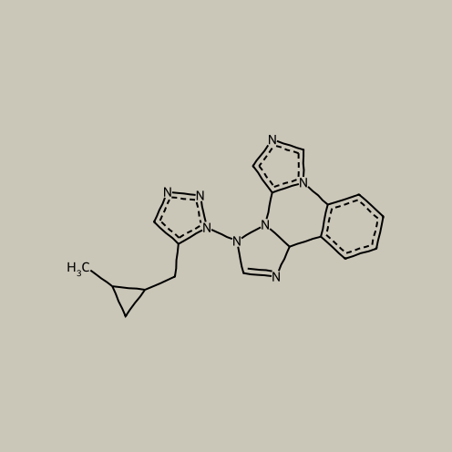 CC1CC1Cc1cnnn1N1C=NC2c3ccccc3-n3cncc3N21